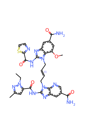 CCn1nc(C)cc1C(=O)Nc1nc2cc(C(N)=O)cnc2n1C/C=C/Cn1c(NC(=O)c2nccs2)nc2cc(C(N)=O)cc(OC)c21